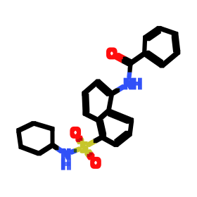 O=C(Nc1cccc2c(S(=O)(=O)NC3CCCCC3)cccc12)c1ccccc1